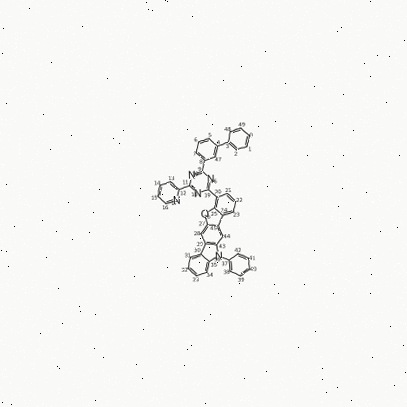 c1ccc(-c2cccc(-c3nc(-c4ccccn4)nc(-c4cccc5c4oc4cc6c7ccccc7n(-c7ccccc7)c6cc45)n3)c2)cc1